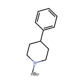 CCC[CH]N1CCC(c2ccccc2)CC1